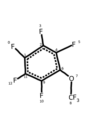 Fc1c(F)c(F)c(OC(F)(F)F)c(F)c1F